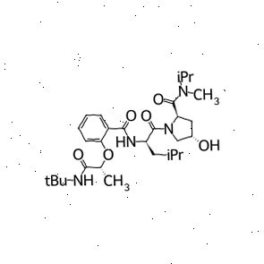 CC(C)C[C@@H](NC(=O)c1ccccc1O[C@H](C)C(=O)NC(C)(C)C)C(=O)N1C[C@@H](O)C[C@@H]1C(=O)N(C)C(C)C